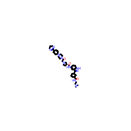 CN(C)CCNC(=O)c1cccc(-c2n[nH]c3ccc(NC(=O)[C@@H]4CCN(CC(=O)N5CCN(c6ccc(-c7ncccn7)cc6)CC5)C4)cc23)c1